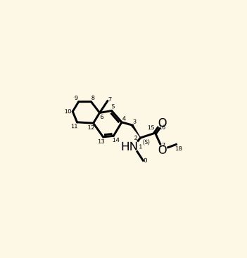 CN[C@@H](CC1=CC2(C)CCCCC2C=C1)C(=O)OC